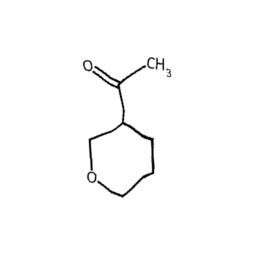 CC(=O)C1CCCOC1